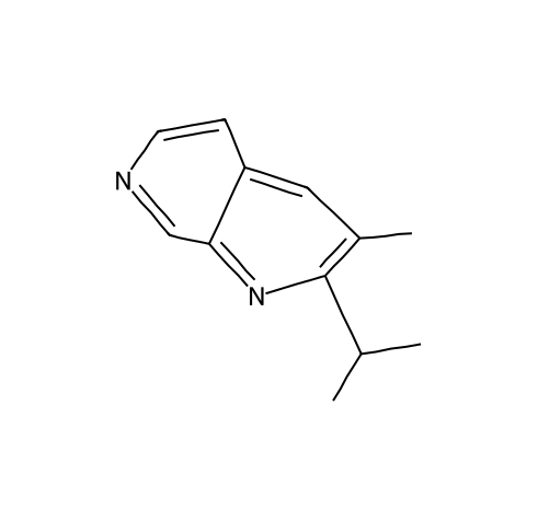 Cc1cc2ccncc2nc1C(C)C